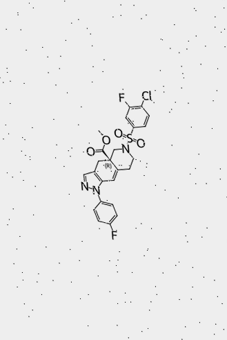 COC(=O)[C@]12Cc3cnn(-c4ccc(F)cc4)c3C=C1CCN(S(=O)(=O)c1ccc(Cl)c(F)c1)C2